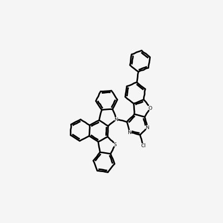 Clc1nc(-n2c3ccccc3c3c4ccccc4c4c5ccccc5sc4c32)c2c(n1)oc1cc(-c3ccccc3)ccc12